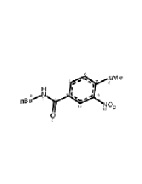 CCCCNC(=O)c1ccc(SC)c([N+](=O)[O-])c1